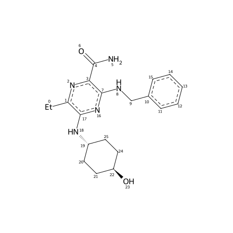 CCc1nc(C(N)=O)c(NCc2ccccc2)nc1N[C@H]1CC[C@H](O)CC1